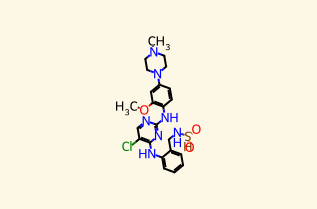 COc1cc(N2CCN(C)CC2)ccc1Nc1ncc(Cl)c(Nc2ccccc2CN[SH](=O)=O)n1